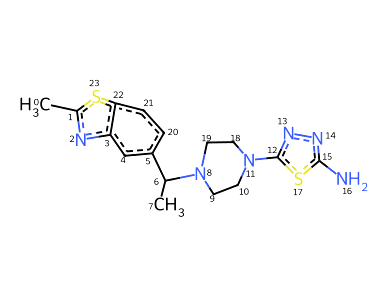 Cc1nc2cc(C(C)N3CCN(c4nnc(N)s4)CC3)ccc2s1